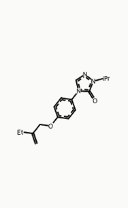 C=C(CC)COc1ccc(-n2cnn(C(C)C)c2=O)cc1